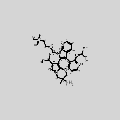 CC1(N)COc2c(-c3c(-c4cccnc4OC(F)F)c4cccnc4n3COCC[Si](C)(C)C)c(C(F)F)nn2C1